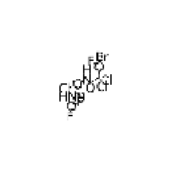 O=C(Nc1ccc(F)cc1F)c1cc(NC(=O)[C@H]2C(c3ccc(Br)c(F)c3)C2(Cl)Cl)ccc1Cl